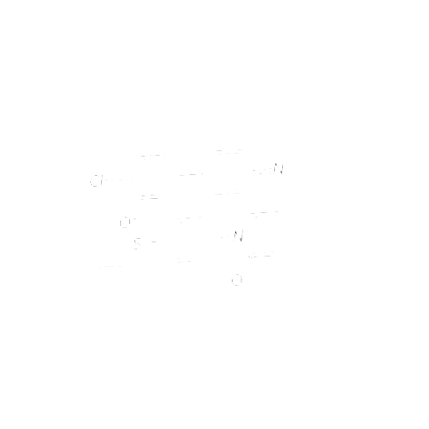 CC[S+]([O-])c1ccc(-n2c(=O)ccc3cnc4ccc(-c5ccc(Cl)cc5)cc4c32)cc1